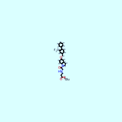 CC(C)(C)OC(=O)CCNCC(=O)N1CCc2cc(OCc3ccc(-c4ccccc4)c(C(F)(F)F)c3)ccc21